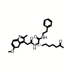 COC1=CC=C2N=C(C)C(CC(=O)N[C@@H](CCCCCC(C)=O)C(=O)NCCc3ccccc3)=C2C1